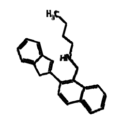 CCCCNCc1c(C2=Cc3ccccc3C2)ccc2ccccc12